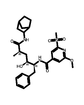 COc1cc(C(=O)N[C@@H](Cc2ccccc2)[C@@H](O)C[C@@H](C)C(=O)NC2CC3CCC2C3)cc(S(C)(=O)=O)n1